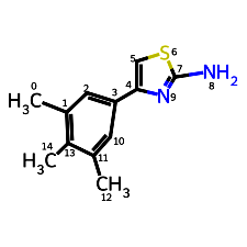 Cc1cc(-c2csc(N)n2)cc(C)c1C